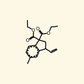 C=CC1CC(C(=O)OCC)(C(=O)OCC)c2ccc(C)cc21